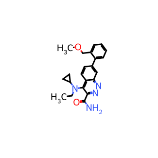 CCN(c1c(C(N)=O)nnc2cc(-c3ccccc3COC)ccc12)C1CC1